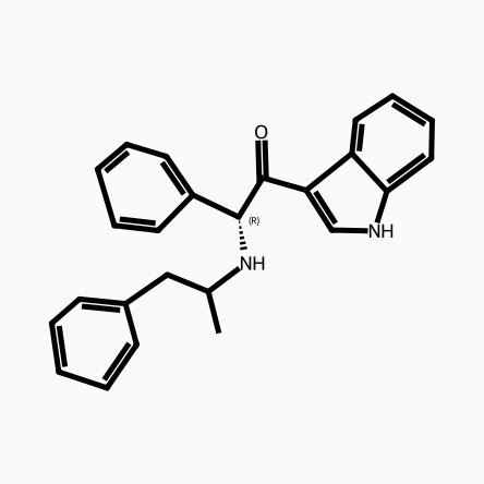 CC(Cc1ccccc1)N[C@@H](C(=O)c1c[nH]c2ccccc12)c1ccccc1